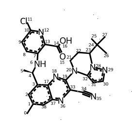 Cc1cc([C@@H](C)Nc2ccc(Cl)nc2C(=O)O)c2nc(N3CCC(C(C)(C)C)n4nccc43)c(C#N)nc2c1